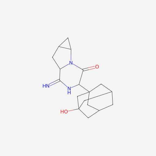 N=C1NC(C23CC4CC(CC(O)(C4)C2)C3)C(=O)N2C1CC1CC12